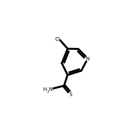 NC(=S)c1[c]c(Cl)cnc1